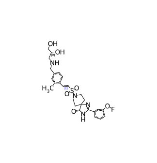 Cc1cc(CNC[C@@H](O)CO)ccc1/C=C/S(=O)(=O)N1CCC2(CC1)N=C(c1cccc(OF)c1)NC2=O